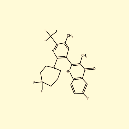 Cc1cc(-c2[nH]c3ccc(F)cc3c(=O)c2C)c(N2CCCC(F)(F)CC2)nc1C(F)(F)F